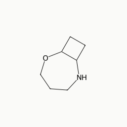 C1CNC2CCC2OC1